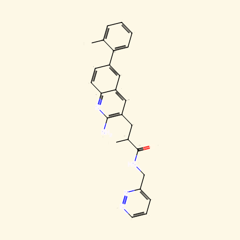 Cc1ccccc1-c1ccc2nc(N)c(CC(C)C(=O)NCc3cccnn3)cc2c1